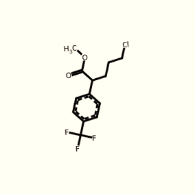 COC(=O)C(CCCCl)c1ccc(C(F)(F)F)cc1